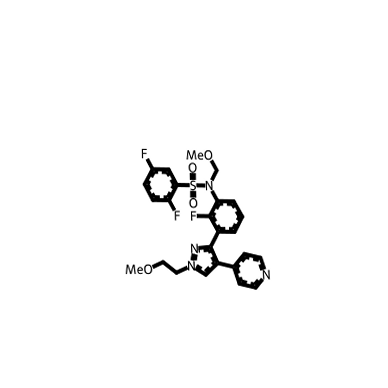 COCCn1cc(-c2ccncc2)c(-c2cccc(N(COC)S(=O)(=O)c3cc(F)ccc3F)c2F)n1